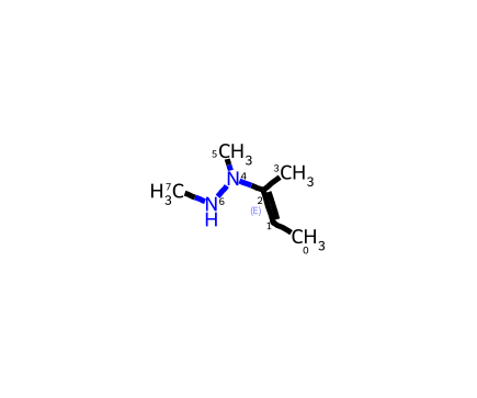 C/C=C(\C)N(C)NC